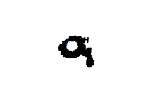 C=C1[C@H](C)C[C@H](C)/C=C/C=C/C=C(\C)[C@@H](OC)C[C@@H]2CC[C@@H](C)[C@@](O)(O2)C(=O)C(=O)N2CCCC[C@H]2C(=O)O[C@H]([C@H](C)C[C@@H]2CC[C@@H](OCCCCN3CCOCC3)[C@H](OC)C2)CC(=O)[C@H](C)/C=C(\C)[C@@H](O)[C@H]1OC